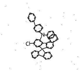 Clc1cc(N(c2ccccc2)c2ccc(-c3ccccc3)cc2)c2c(c1)C1(c3ccccc3-c3ccccc31)c1ccc3ccccc3c1-2